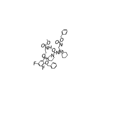 COC(=O)NCCO[C@@H](c1cc(F)cc(F)c1OCc1ccccc1)[C@@H]1CCCN(C(=O)N[C@@H](CC2CCCCC2)CN(C)C(=O)OCc2ccccc2)C1